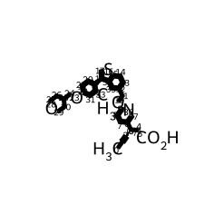 CC#C[C@H](CC(=O)O)c1ccc(OCc2ccc3scc(-c4ccc(OCC5CCOCC5)cc4C)c3c2)nc1